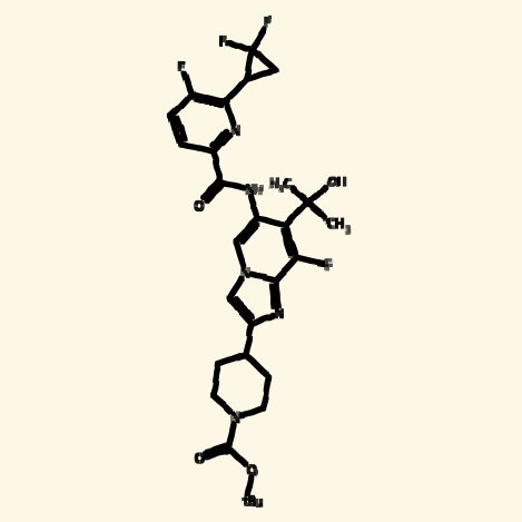 CC(C)(C)OC(=O)N1CCC(c2cn3cc(NC(=O)c4ccc(F)c(C5CC5(F)F)n4)c(C(C)(C)O)c(F)c3n2)CC1